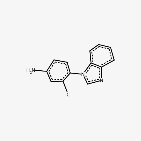 Nc1ccc(-n2cnc3ccccc32)c(Cl)c1